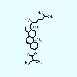 CC(C)CCC[C@@H](C)[C@H]1CCC2C3CC=C4C[C@@H](OC(=O)C(C)C)CC[C@]4(C)C3CC[C@@]21C